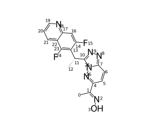 C/C(=N\O)c1ccc2nnc([C@H](C)c3c(F)cc4ncccc4c3F)n2n1